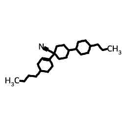 CCCCC1CC=C(C2(C#N)CCC(C3CCC(CCC)CC3)CC2)CC1